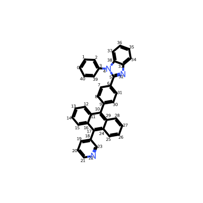 c1ccc(-n2c(-c3ccc(-c4c5ccccc5c(-c5cccnc5)c5ccccc45)cc3)nc3ccccc32)cc1